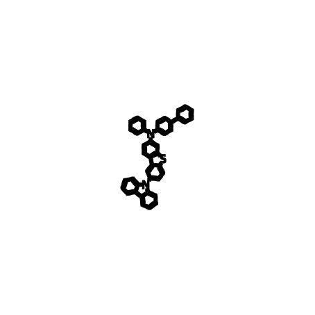 c1ccc(-c2ccc(N(c3ccccc3)c3ccc4c(c3)sc3ccc(-n5c6ccccc6c6ccccc65)cc34)cc2)cc1